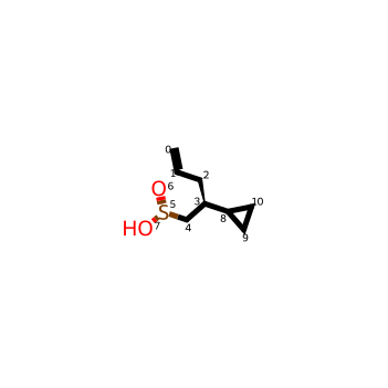 C=CC[C@H](CS(=O)O)C1CC1